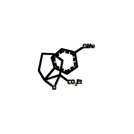 CCOC(=O)C12CCCCC1(c1ccc(OC)cc1)O2